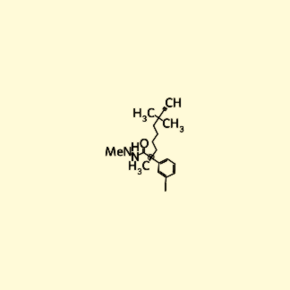 C#CC(C)(C)CCCC[C@@](C)(C(=O)NNC)c1cccc(I)c1